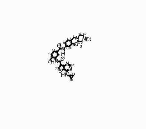 CCN1CCN(Cc2ccc(NC(=O)c3ccc(C)c(NC(=O)c4csc5c(NC6CC6)ncnc45)c3)cc2C(F)(F)F)CC1